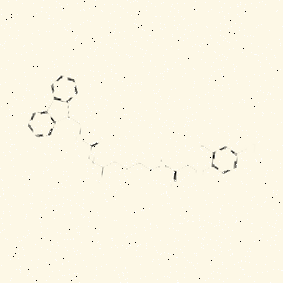 O=C(COc1ccc(Cl)cc1Cl)NCCCCC(NC(=O)OCC1c2ccccc2-c2ccccc21)C(=O)O